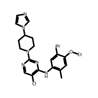 CCOc1cc(C)c(Nc2nc(N3CCC(n4ccnc4)CC3)ncc2Cl)cc1C(C)C